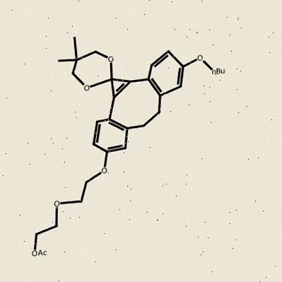 CCCCOc1ccc2c(c1)CCc1cc(OCCOCCOC(C)=O)ccc1C1=C2C12OCC(C)(C)CO2